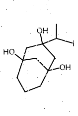 CC(I)C1(O)CC2(O)CCCC(O)(C2)C1